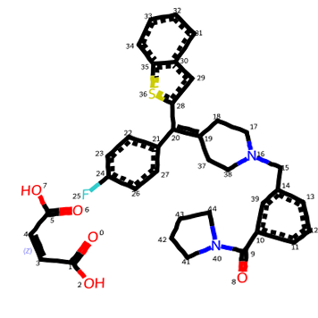 O=C(O)/C=C\C(=O)O.O=C(c1cccc(CN2CCC(=C(c3ccc(F)cc3)c3cc4ccccc4s3)CC2)c1)N1CCCC1